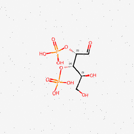 O=C[C@@H](OP(=O)(O)O)[C@@H](OP(=O)(O)O)[C@@H](O)CO